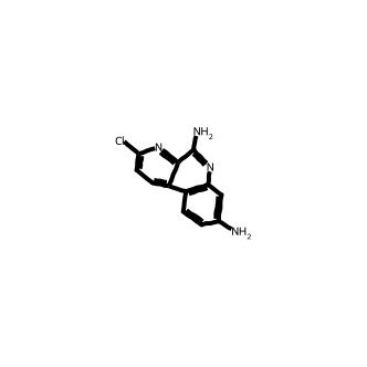 Nc1ccc2c(c1)nc(N)c1nc(Cl)ccc12